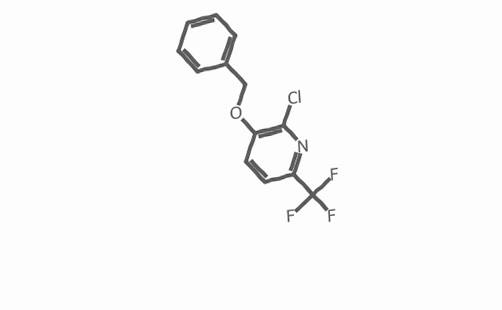 FC(F)(F)c1ccc(OCc2ccccc2)c(Cl)n1